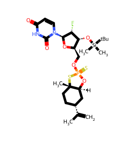 C=C(C)[C@@H]1CC[C@]2(C)SP(=S)(OC[C@H]3O[C@@H](n4ccc(=O)[nH]c4=O)[C@H](F)[C@@H]3O[Si](C)(C)C(C)(C)C)O[C@H]2C1